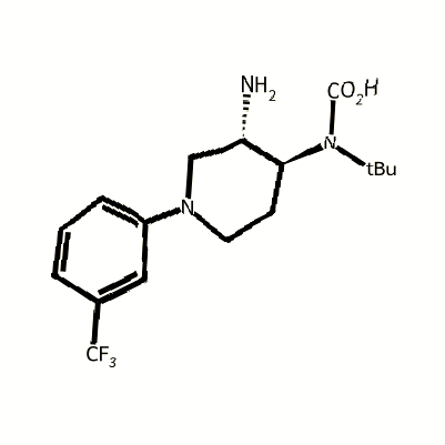 CC(C)(C)N(C(=O)O)[C@H]1CCN(c2cccc(C(F)(F)F)c2)C[C@@H]1N